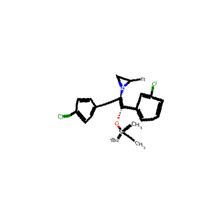 CCC1CN1[C@H](c1ccc(Cl)cc1)[C@@H](O[Si](C)(C)C(C)(C)C)c1cccc(Cl)c1